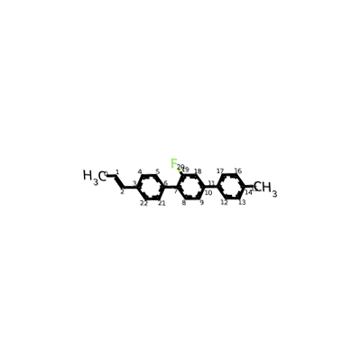 C/C=C/c1ccc(-c2ccc(-c3ccc(C)cc3)cc2F)cc1